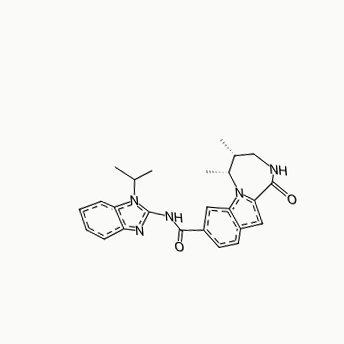 CC(C)n1c(NC(=O)c2ccc3cc4n(c3c2)[C@H](C)[C@H](C)CNC4=O)nc2ccccc21